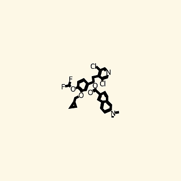 CN(C)c1ccc2cc(C(=O)OC(Cc3c(Cl)cncc3Cl)c3ccc(OC(F)F)c(OCC4CC4)c3)ccc2c1